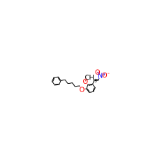 COc1c(C=C[N+](=O)[O-])cccc1OCCCCCc1ccccc1